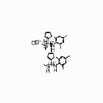 Cc1cc(C)c([NH][Hf+]([C]2=CC=CC2)[SiH](C)C)c(C)c1.Cc1cc(C)c([NH][Hf+]([C]2=CC=CC2)[SiH](C)C)c(C)c1.[Cl-].[Cl-]